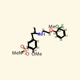 CNS(=O)(=O)c1cc(CC(C)NCCOC2C=CC=CC2(F)OC)ccc1OC